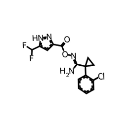 N/C(=N\OC(=O)c1cc(C(F)F)[nH]n1)C1(c2ccccc2Cl)CC1